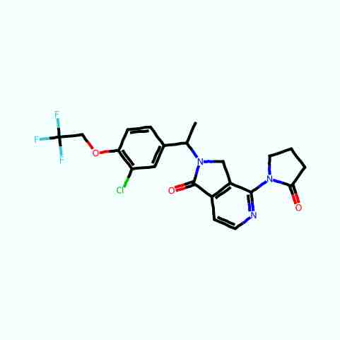 CC(c1ccc(OCC(F)(F)F)c(Cl)c1)N1Cc2c(ccnc2N2CCCC2=O)C1=O